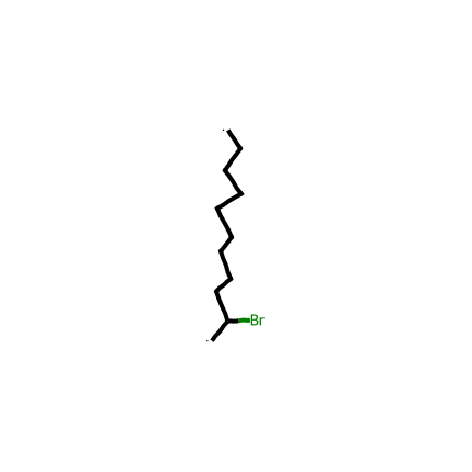 [CH2]CCCCCCCCC([CH2])Br